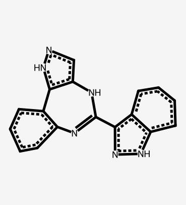 c1ccc2c(c1)N=C(c1n[nH]c3ccccc13)Nc1cn[nH]c1-2